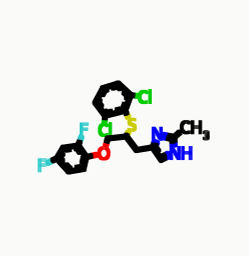 Cc1nc(CC(COc2ccc(F)cc2F)Sc2c(Cl)cccc2Cl)c[nH]1